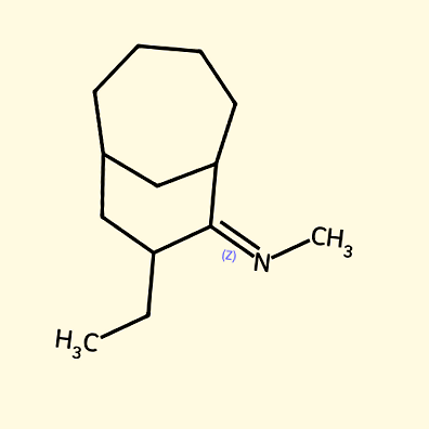 CCC1CC2CCCCC(C2)/C1=N\C